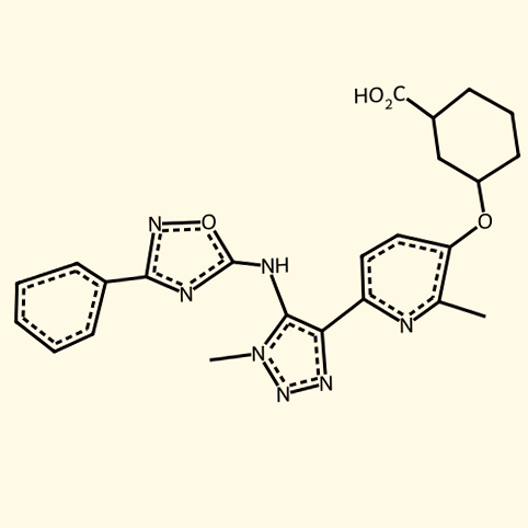 Cc1nc(-c2nnn(C)c2Nc2nc(-c3ccccc3)no2)ccc1OC1CCCC(C(=O)O)C1